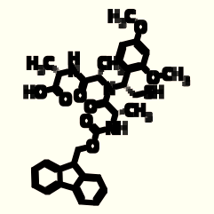 COc1ccc([C@H](CS)N(C(=O)[C@H](C)NC(=O)OCC2c3ccccc3-c3ccccc32)[C@@H](C)C(=O)N[C@@H](C)C(=O)O)c(OC)c1